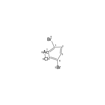 Brc1ccc(Br)cc1.CC(=O)Cl